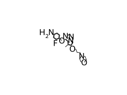 Cc1c(OCCCN2CCOCC2)cn2ncnc(Oc3ccc(N)cc3F)c12